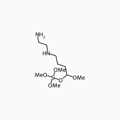 COC(CCCNCCN)O[Si](OC)(OC)OC